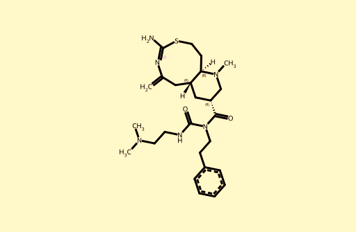 C=C1C[C@H]2C[C@@H](C(=O)N(CCc3ccccc3)C(=O)NCCN(C)C)CN(C)[C@@H]2CCS/C(N)=N\1